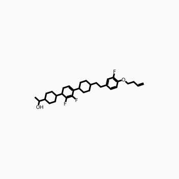 C=CCCOc1ccc(CCC2CCC(C3=CCC(C4CCC(C(C)O)CC4)C(F)=C3F)CC2)cc1F